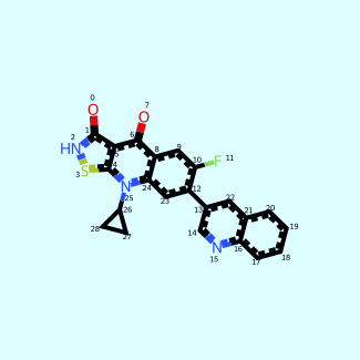 O=c1[nH]sc2c1c(=O)c1cc(F)c(-c3cnc4ccccc4c3)cc1n2C1CC1